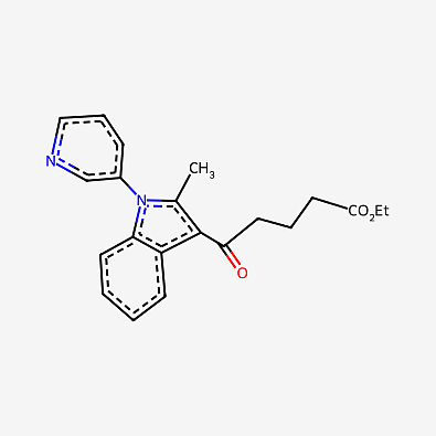 CCOC(=O)CCCC(=O)c1c(C)n(-c2cccnc2)c2ccccc12